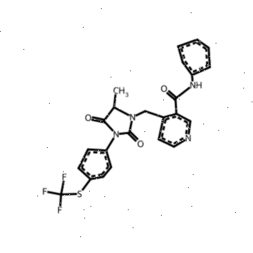 CC1C(=O)N(c2ccc(SC(F)(F)F)cc2)C(=O)N1Cc1ccncc1C(=O)Nc1ccccc1